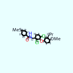 COc1ccc(Oc2c(Cl)ccc(CNC(=O)c3ccc(SC)cc3)c2Cl)cc1C(C)C